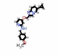 COc1ccc(CNc2cc(OCc3cn4cc(C5CC5)ccc4n3)ccn2)cc1